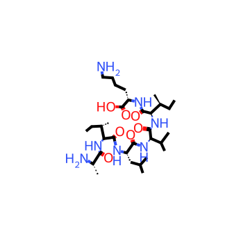 CC[C@H](C)[C@H](NC(=O)[C@H](C)N)C(=O)N[C@@H](CC(C)C)C(=O)N[C@H](C(=O)N[C@H](C(=O)N[C@@H](CCCCN)C(=O)O)[C@@H](C)CC)C(C)C